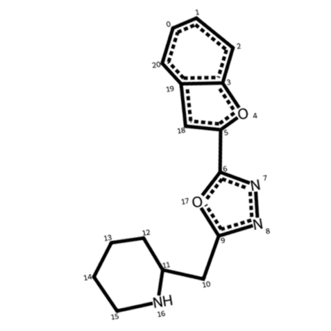 c1ccc2oc(-c3nnc(CC4CCCCN4)o3)cc2c1